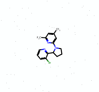 FC(F)(F)c1cc(N2CCCC2c2ncccc2Br)nc(C(F)(F)F)c1